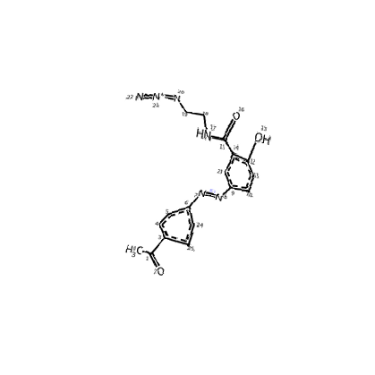 CC(=O)c1ccc(/N=N/c2ccc(O)c(C(=O)NCCN=[N+]=[N-])c2)cc1